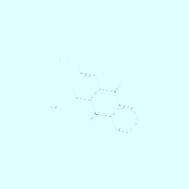 COC1SC(C(=O)O)=CC2=C1C(=O)c1ccccc1C2=O